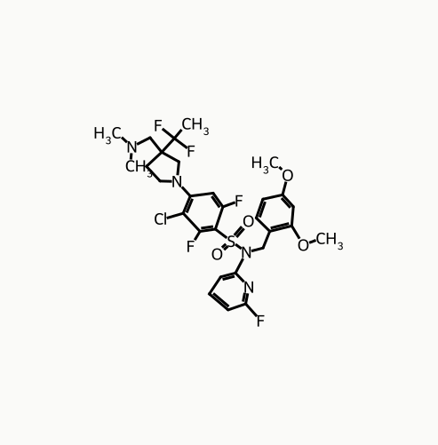 COc1ccc(CN(c2cccc(F)n2)S(=O)(=O)c2c(F)cc(N3CCC(CN(C)C)(C(C)(F)F)C3)c(Cl)c2F)c(OC)c1